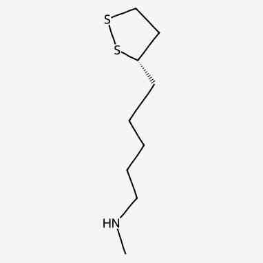 CNCCCCC[C@H]1CCSS1